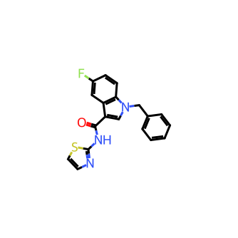 O=C(Nc1nccs1)c1cn(Cc2ccccc2)c2ccc(F)cc12